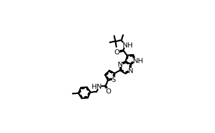 Cc1ccc(CNC(=O)c2ccc(-c3cnc4[nH]cc(C(=O)NC(C)C(C)(C)C)c4n3)s2)cc1